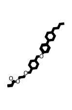 C=CC(=O)OCCOCC1CCC(COc2ccc(C3CCC(CCCC)CC3)cc2)CC1